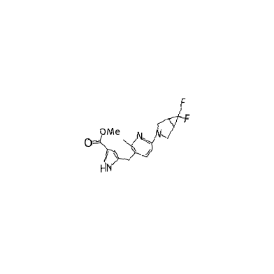 COC(=O)c1c[nH]c(Cc2ccc(N3CC4C(C3)C4(F)F)nc2C)c1